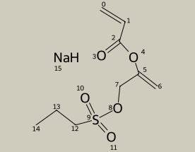 C=CC(=O)OC(=C)COS(=O)(=O)CCC.[NaH]